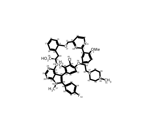 COc1ccccc1-c1nccc(COc2ccccc2C[C@@H](Oc2ncnc3c2c(-c2ccc(OCCN4CCN(C)CC4)c(Cl)c2C)c(-c2ccc(F)cc2)n3C)C(=O)O)n1